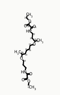 CCOC(=O)C(=O)NCCCOC(C)CCCCOC(C)CCNC(=O)C(=O)OCC